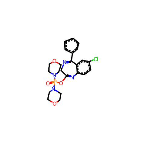 O=P(OC1=Nc2ccc(Cl)cc2C(c2ccccc2)=NC1)(N1CCOCC1)N1CCOCC1